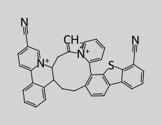 C=C1CC2C(CCc3ccc4c(sc5c(C#N)cccc54)c3-c3cccc[n+]31)c1ccccc1-c1ccc(C#N)c[n+]12